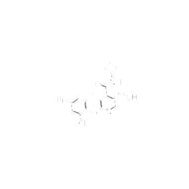 COc1cnc(Oc2c(Cl)cc(Br)cc2Cl)cc1C(=O)NC1CCC1